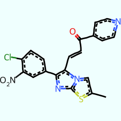 Cc1cn2c(C=CC(=O)c3ccncc3)c(-c3ccc(Cl)c([N+](=O)[O-])c3)nc2s1